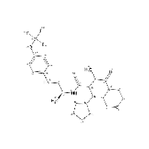 CC(C(=O)N1CCOCC1)C(CC1CCCC1)C(=O)N[C@@H](C)CNc1ccc(OC(F)(F)F)cc1